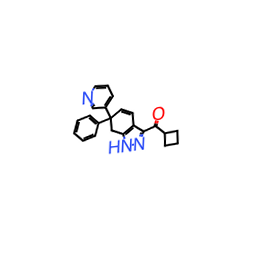 O=C(c1n[nH]c2c1C=CC(c1ccccc1)(c1cccnc1)C2)C1CCC1